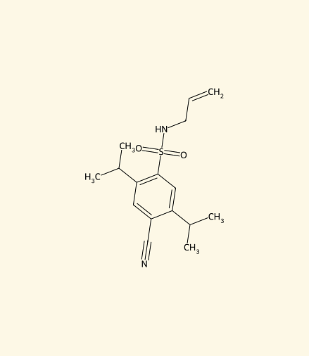 C=CCNS(=O)(=O)c1cc(C(C)C)c(C#N)cc1C(C)C